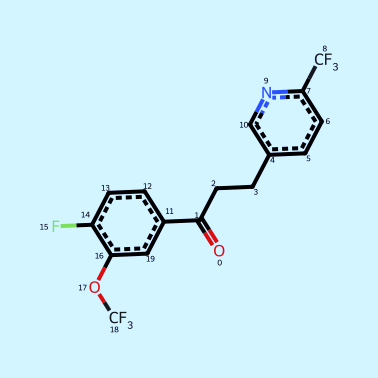 O=C(CCc1ccc(C(F)(F)F)nc1)c1ccc(F)c(OC(F)(F)F)c1